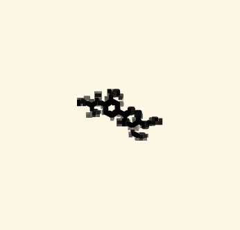 CC(C)C[C@H](NC(=O)c1ccc(NC(C(C)C)C(C)C)c([N+](=O)[O-])c1)C(=O)OC(C)(C)C